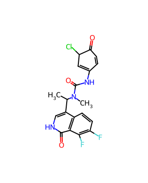 CC(c1c[nH]c(=O)c2c(F)c(F)ccc12)N(C)C(=O)NC1=CC(Cl)C(=O)C=C1